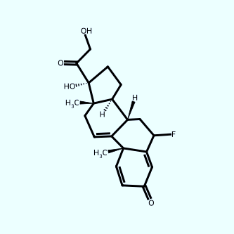 C[C@]12C=CC(=O)C=C1C(F)C[C@@H]1C2=CC[C@@]2(C)[C@H]1CC[C@]2(O)C(=O)CO